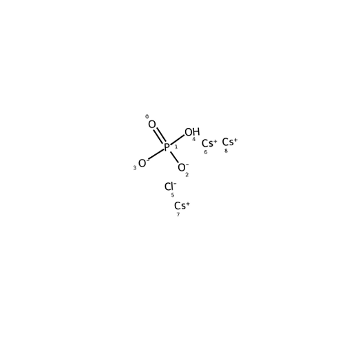 O=P([O-])([O-])O.[Cl-].[Cs+].[Cs+].[Cs+]